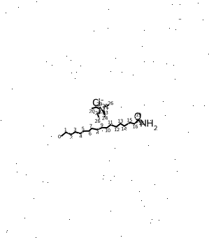 CCCCCCCCCCCCCCCCCC(N)=O.CC[N+](CC)(CC)CC.[Cl-]